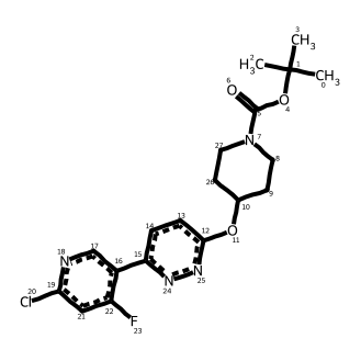 CC(C)(C)OC(=O)N1CCC(Oc2ccc(-c3cnc(Cl)cc3F)nn2)CC1